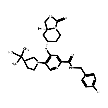 CC(C)(O)C1CCN(c2cnc(C(=O)NCc3ccc(Cl)cc3)cc2O[C@H]2CCN3C(=O)OC[C@@H]3C2)C1